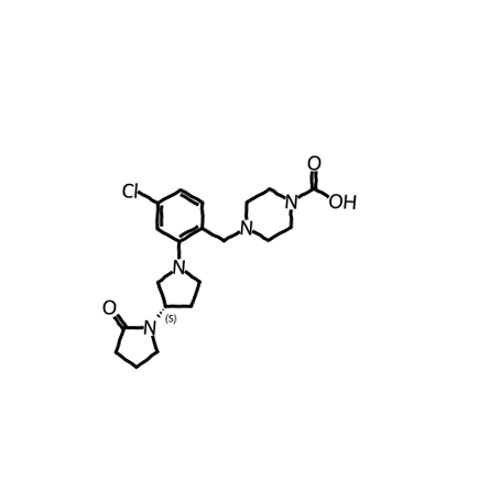 O=C(O)N1CCN(Cc2ccc(Cl)cc2N2CC[C@H](N3CCCC3=O)C2)CC1